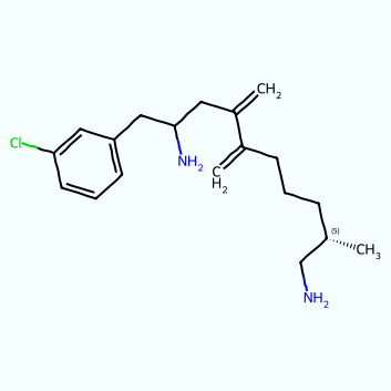 C=C(CCC[C@H](C)CN)C(=C)CC(N)Cc1cccc(Cl)c1